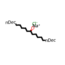 CCCCCCCCCCCCCCCC(=O)CCCCCCCCCCCCCCC.[Cl-].[Na+]